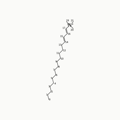 CCCCCCCCCCCCCCC=CC=C[N+](C)(C)C